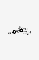 CCC(C)c1ccc(COc2cc(C(=O)O)c(O)c(C(C)(C)C)c2)cc1